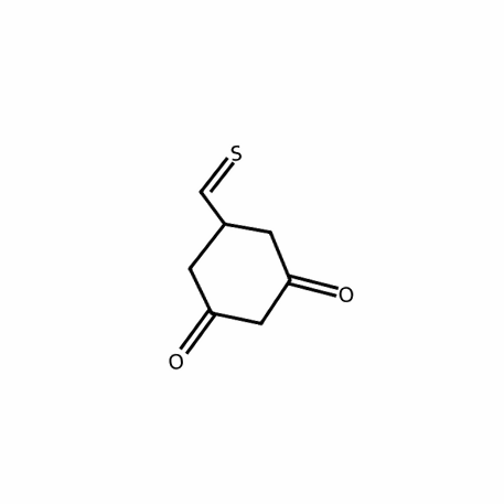 O=C1CC(=O)CC(C=S)C1